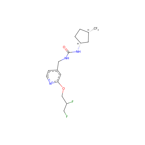 O=C(NCc1ccnc(OCC(F)CF)c1)N[C@@H]1CC[C@H](C(F)(F)F)C1